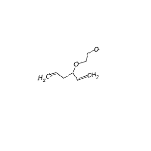 C=CCC(C=C)OCC[O]